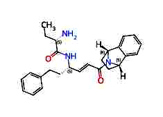 CC[C@H](N)C(=O)N[C@H](C=CC(=O)N1[C@@H]2CC[C@H]1c1ccccc12)CCc1ccccc1